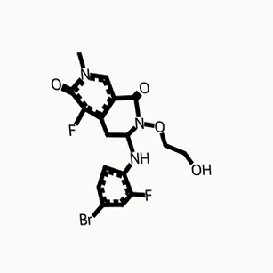 Cn1cc2c(c(F)c1=O)CC(Nc1ccc(Br)cc1F)N(OCCO)C2=O